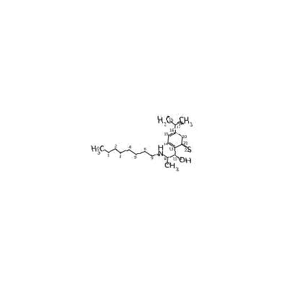 CCCCCCCCNC(C)C(O)C1=CC=C(C(C)C)CC1=S